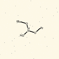 CC(C)O[SiH](O)OC(C)(C)C